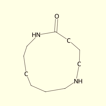 O=C1CCCNCCCCCCN1